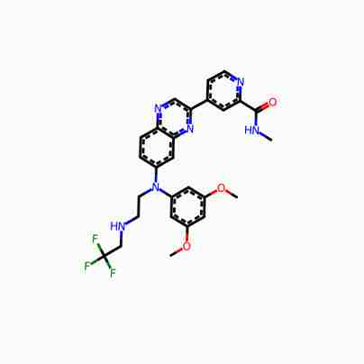 CNC(=O)c1cc(-c2cnc3ccc(N(CCNCC(F)(F)F)c4cc(OC)cc(OC)c4)cc3n2)ccn1